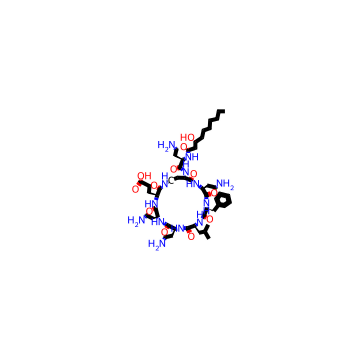 CCCCCCC[C@@H](O)CC(=O)N[C@H](CCN)C(=O)N[C@H]1CCNC(=O)[C@H](CCC(=O)O)NC(=O)[C@H](CCN)NC(=O)[C@H](CCN)NC(=O)[C@H](CC(C)C)NC(=O)[C@@H](Cc2ccccc2)NC(=O)[C@H](CCN)NC1=O